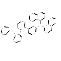 C1=CC2C(C(c3cccc(N(c4cccc5ccccc45)c4cccc5ccccc45)c3)=C1)c1ccccc1N2c1ccccc1